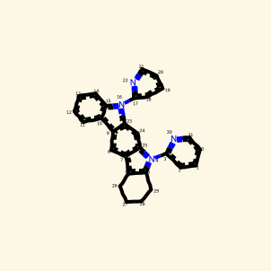 c1ccc(-n2c3c(c4cc5c6ccccc6n(-c6ccccn6)c5cc42)CCCC3)nc1